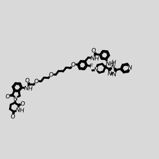 CN1CCC(Nc2cccc(C(=O)NCc3cc(OCCCCCOCCCOCC(=O)Nc4cccc5c4CN(C4CCC(=O)NC4=O)C5=O)ccc3F)c2)(c2nnc(-c3ccncc3)[nH]2)CC1